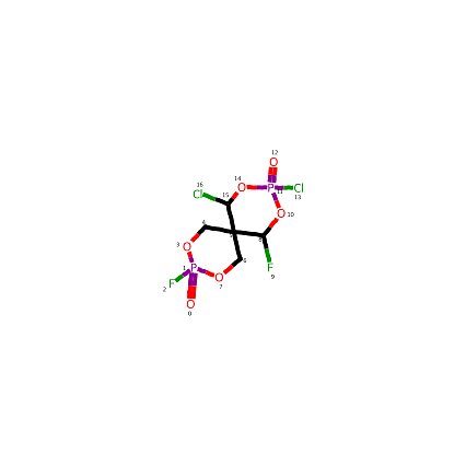 O=P1(F)OCC2(CO1)C(F)OP(=O)(Cl)OC2Cl